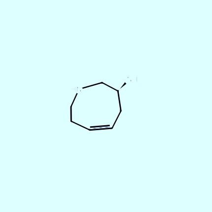 N[C@H]1C/C=C\CCNC1